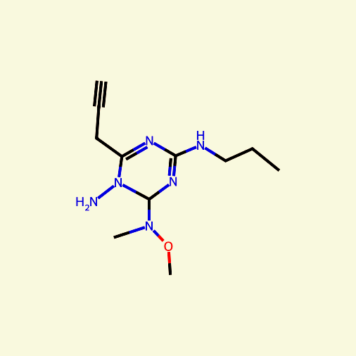 C#CCC1=NC(NCCC)=NC(N(C)OC)N1N